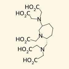 O=C(O)CN(CC(=O)O)C[C@H]1CCCC(N(CC(=O)O)CC(=O)O)CN1CC(=O)O